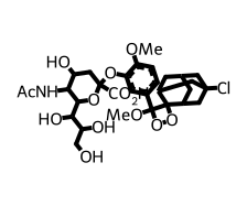 COc1ccc(C2(OC)OOC23C2CC4CC3CC(Cl)(C4)C2)cc1OC1(C(=O)O)CC(O)C(NC(C)=O)C(C(O)C(O)CO)O1